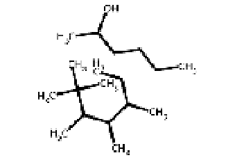 CCC(C)C(C)C(C)C(C)(C)C.CCCCC(C)O